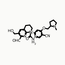 CN1CCCC1COc1cc([N@@+]2(C(N)=O)CCCc3cc(CO)c(C=O)nc32)ncc1C#N